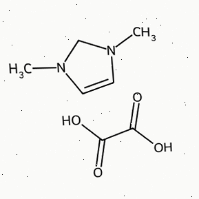 CN1C=CN(C)C1.O=C(O)C(=O)O